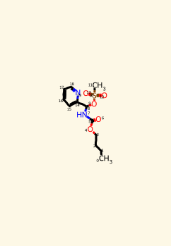 CCCCOC(=O)NC(OS(C)(=O)=O)c1ccccn1